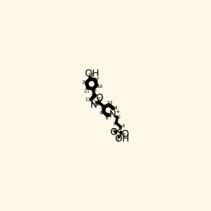 O=S(=O)(O)CCC[n+]1ccc(-c2ncc(-c3ccc(O)cc3)o2)cc1